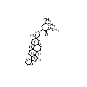 COC(=O)[C@H](CC(C)C)NC[C@@]1(O)CC[C@@]2(C)C(CC[C@@H]3[C@@H]2CC[C@@]2(C)[C@H]3CCC23OCCO3)C1